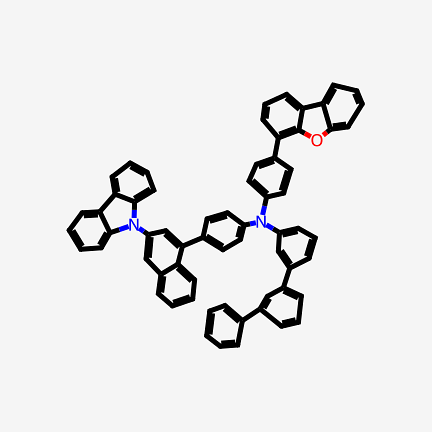 c1ccc(-c2cccc(-c3cccc(N(c4ccc(-c5cc(-n6c7ccccc7c7ccccc76)cc6ccccc56)cc4)c4ccc(-c5cccc6c5oc5ccccc56)cc4)c3)c2)cc1